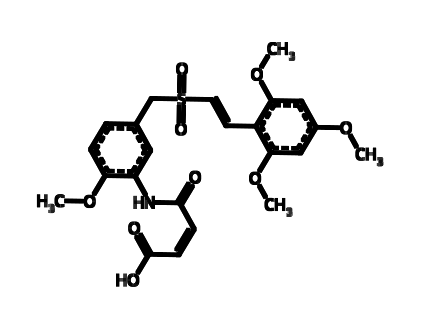 COc1cc(OC)c(/C=C/S(=O)(=O)Cc2ccc(OC)c(NC(=O)/C=C\C(=O)O)c2)c(OC)c1